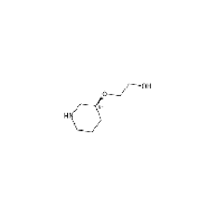 OCCO[C@H]1CCCNC1